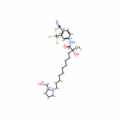 CC(O)(CCCCCCCCCCN1CCC[C@H]1CO)C(=O)Nc1ccc(C#N)c(C(F)(F)F)c1